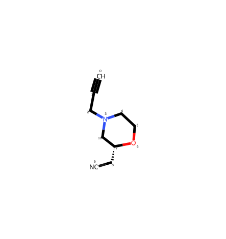 C#CCN1CCO[C@H](CC#N)C1